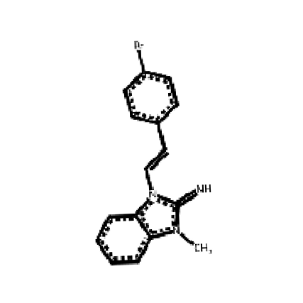 Cn1c(=N)n(/C=C/c2ccc(Br)cc2)c2ccccc21